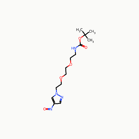 CC(C)(C)OC(=O)NCCOCCOCCn1cc(N=O)cn1